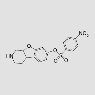 O=[N+]([O-])c1ccc(S(=O)(=O)Oc2ccc3c(c2)OC2CNCCC32)cc1